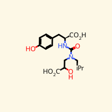 CC(C)CN(CC(O)C(=O)O)C(=O)N[C@@H](Cc1ccc(O)cc1)C(=O)O